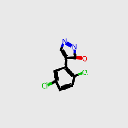 O=C1N=NC=C1c1cc(Cl)ccc1Cl